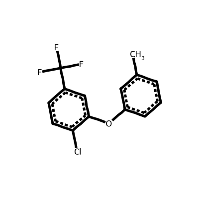 Cc1cccc(Oc2cc(C(F)(F)F)ccc2Cl)c1